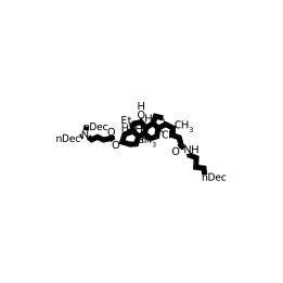 CCCCCCCCCCCCCCNC(=O)CC[C@@H](C)[C@H]1CC[C@H]2[C@@H]3[C@H](O)C(CC)[C@@H]4C[C@H](OC(=O)CCCN(CCCCCCCCCC)CCCCCCCCCC)CC[C@]4(C)[C@H]3CC[C@]12C